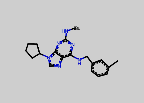 CCC(C)Nc1nc(NCc2cccc(C)c2)c2ncn(C3CCCC3)c2n1